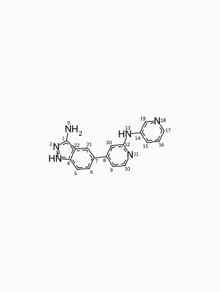 Nc1n[nH]c2ccc(-c3ccnc(Nc4cccnc4)c3)cc12